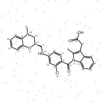 Cc1c(CC(=O)O)c2ccccc2n1C(=O)c1ccc(NC[C@@H]2CN(C)c3ccccc3O2)cc1Cl